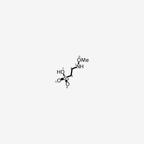 CONCCS(=O)(=O)O